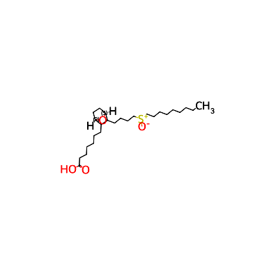 CCCCCCCCC[S+]([O-])CCCCC1C(CCCCCCC(=O)O)[C@H]2CC[C@@H]1O2